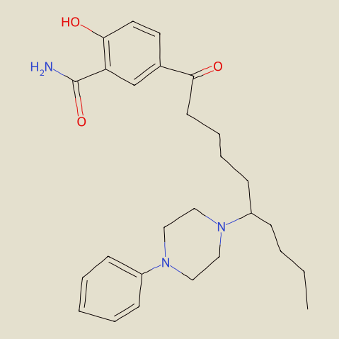 CCCCC(CCCCC(=O)c1ccc(O)c(C(N)=O)c1)N1CCN(c2ccccc2)CC1